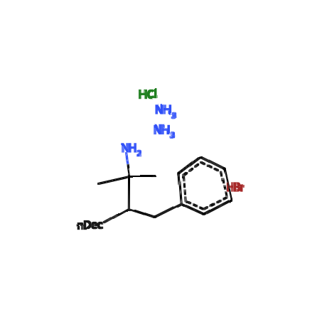 Br.CCCCCCCCCCC(Cc1ccccc1)C(C)(C)N.Cl.N.N